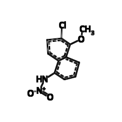 COc1c(Cl)ccc2c(N[N+](=O)[O-])cccc12